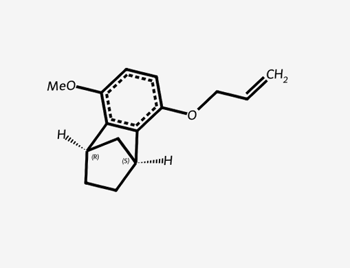 C=CCOc1ccc(OC)c2c1[C@H]1CC[C@@H]2C1